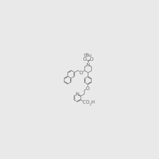 CC(C)(C)OC(=O)N1CCC(c2ccc(OCCc3ncccc3C(=O)O)cc2)C(OCc2ccc3ccccc3c2)C1